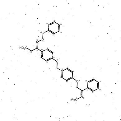 CO/N=C(\COc1ccc(COc2ccc(/C(CC(=O)O)=N\OCc3ccccc3)cc2)cc1)c1ccccc1